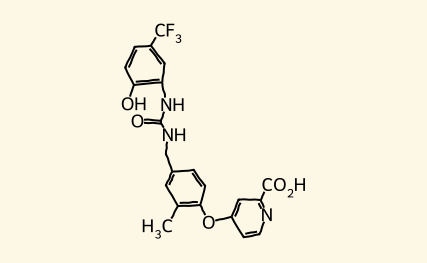 Cc1cc(CNC(=O)Nc2cc(C(F)(F)F)ccc2O)ccc1Oc1ccnc(C(=O)O)c1